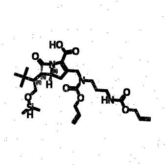 C=CCOC(=O)NCCCN(CC1=C(C(=O)O)N2C(=O)[C@@H]([C@@H](CO[SiH](C)C)C(C)(C)C)[C@H]2C1)C(=O)OCC=C